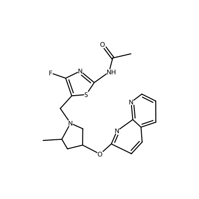 CC(=O)Nc1nc(F)c(CN2CC(Oc3ccc4cccnc4n3)CC2C)s1